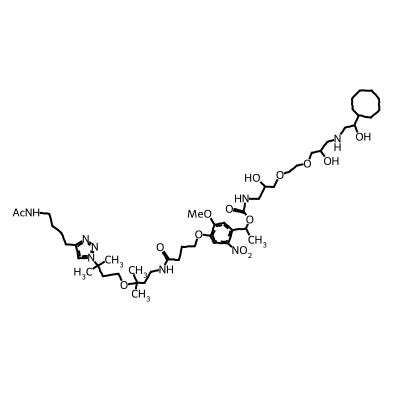 COc1cc(C(C)OC(=O)NCC(O)COCCOCC(O)CNCC(O)C2CCCCCCC2)c([N+](=O)[O-])cc1OCCCC(=O)NCCC(C)(C)OCCC(C)(C)n1cc(CCCCNC(C)=O)nn1